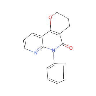 O=c1c2c(c3cccnc3n1-c1ccccc1)OCCC2